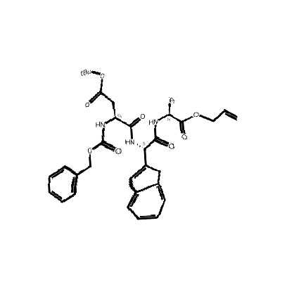 C=CCOC(=O)[C@@H](NC(=O)[C@@H](NC(=O)[C@H](CC(=O)OC(C)(C)C)NC(=O)OCc1ccccc1)C1=Cc2ccccc2C1)C(C)C